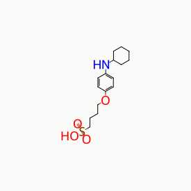 O=S(=O)(O)CCCCOc1ccc(NC2CCCCC2)cc1